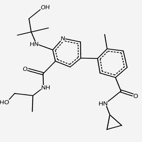 Cc1ccc(C(=O)NC2CC2)cc1-c1cnc(NC(C)(C)CO)c(C(=O)NC(C)CO)c1